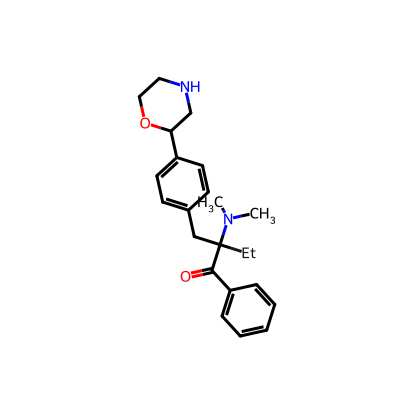 CCC(Cc1ccc(C2CNCCO2)cc1)(C(=O)c1ccccc1)N(C)C